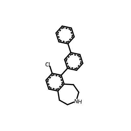 Clc1ccc2c(c1-c1cccc(-c3ccccc3)c1)CCNCC2